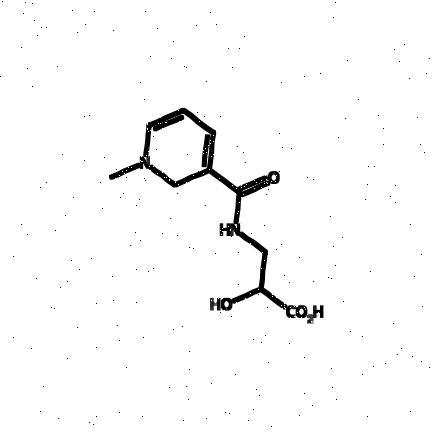 CN1C=CC=C(C(=O)NCC(O)C(=O)O)C1